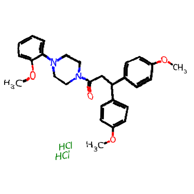 COc1ccc(C(CC(=O)N2CCN(c3ccccc3OC)CC2)c2ccc(OC)cc2)cc1.Cl.Cl